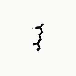 C=C/C(C)=C/CCC(C)=O